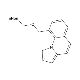 CCCCCCCCCCOCc1cccc2ccc3cccn3c12